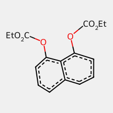 CCOC(=O)Oc1cccc2cccc(OC(=O)OCC)c12